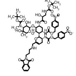 CN(C(=O)OC(C)(C)C)[C@@H]1[C@@H](O)[C@@H](O[C@@H]2[C@@H](O)[C@H](C3OC(CNCCCN4C(=O)c5ccccc5C4=O)=CC[C@H]3NC(=O)OCc3ccc([N+](=O)[O-])cc3)[C@@H](NC(=O)OCc3ccc([N+](=O)[O-])cc3)C[C@H]2NC(=O)[C@@H](O)CNC(=O)OC(C)(C)C)OC[C@]1(C)O